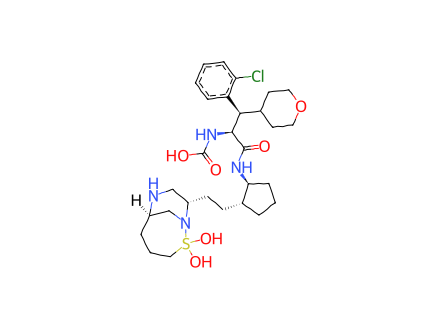 O=C(O)N[C@H](C(=O)N[C@H]1CCC[C@@H]1CC[C@H]1CN[C@@H]2CCCS(O)(O)N1C2)[C@@H](c1ccccc1Cl)C1CCOCC1